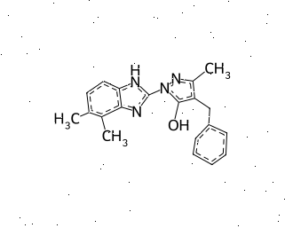 Cc1ccc2[nH]c(-n3nc(C)c(Cc4ccccc4)c3O)nc2c1C